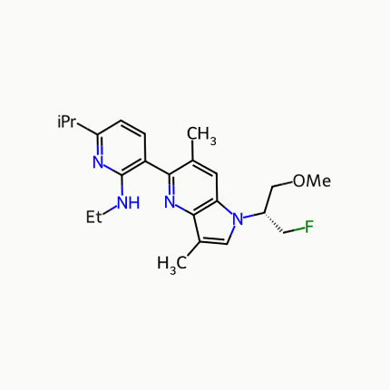 CCNc1nc(C(C)C)ccc1-c1nc2c(C)cn([C@@H](CF)COC)c2cc1C